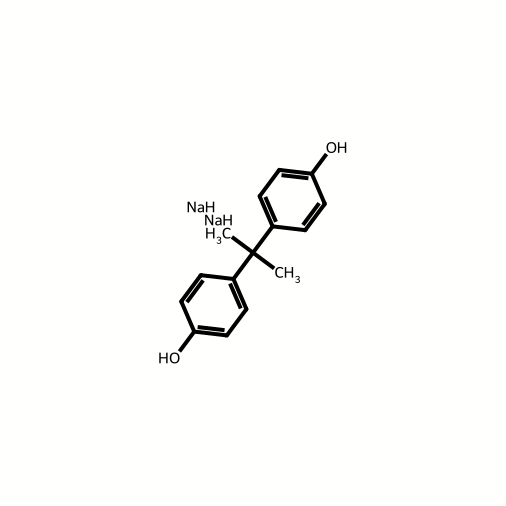 CC(C)(c1ccc(O)cc1)c1ccc(O)cc1.[NaH].[NaH]